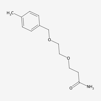 Cc1ccc(COCCOCCC(N)=O)cc1